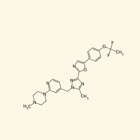 Cc1nc(-c2ncc(-c3ccc(OC(C)(F)F)cc3)o2)nn1Cc1ccnc(N2CCN(C)CC2)c1